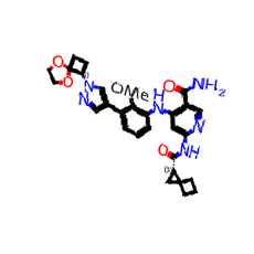 COc1c(Nc2cc(NC(=O)[C@H]3CC34CCC4)ncc2C(N)=O)cccc1-c1cnn([C@H]2CCC23OCCO3)c1